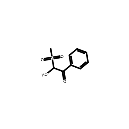 CS(=O)(=O)C(O)C(=O)c1ccccc1